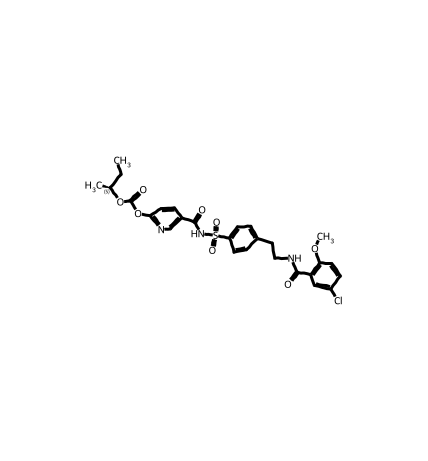 CC[C@H](C)OC(=O)Oc1ccc(C(=O)NS(=O)(=O)c2ccc(CCNC(=O)c3cc(Cl)ccc3OC)cc2)cn1